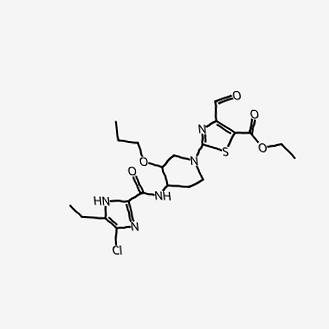 CCCOC1CN(c2nc(C=O)c(C(=O)OCC)s2)CCC1NC(=O)c1nc(Cl)c(CC)[nH]1